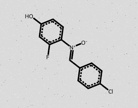 [O-][N+](=Cc1ccc(Cl)cc1)c1ccc(O)cc1F